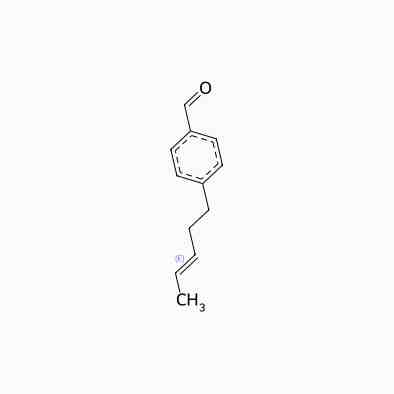 C/C=C/CCc1ccc(C=O)cc1